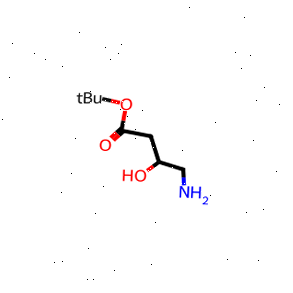 CC(C)(C)OC(=O)CC(O)CN